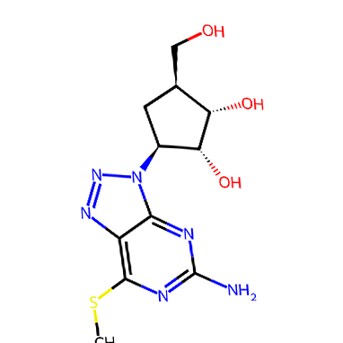 CSc1nc(N)nc2c1nnn2[C@H]1C[C@@H](CO)[C@H](O)[C@@H]1O